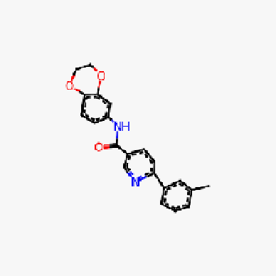 Cc1cccc(-c2ccc(C(=O)Nc3ccc4c(c3)OCCO4)cn2)c1